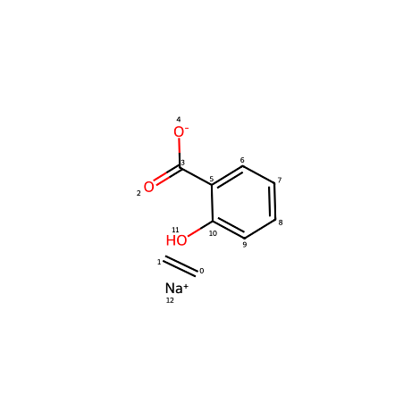 C=C.O=C([O-])c1ccccc1O.[Na+]